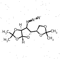 CC1(C)OC[C@H]([C@@H]2O[C@@H]3OC(C)(C)O[C@H]3C2N=[N+]=[N-])O1